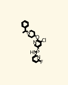 CC(c1ccccc1)N1CCC(Oc2ncc(SNc3cccc(F)n3)cc2Cl)CC1